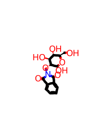 O=C1c2ccccc2C(=O)N1O[C@@H]1[C@@H](O)[C@H](O)[C@@H](CO)O[C@H]1O